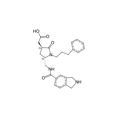 O=C(O)C[C@@H]1C[C@@H](CNC(=O)c2ccc3c(c2)CNC3)N(CCCc2ccccc2)C1=O